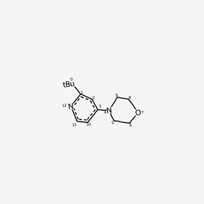 CC(C)(C)c1cc(N2CCOCC2)ccn1